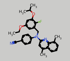 CCOc1cc(CN(c2ccc(C#N)cc2)c2cc(C)c3cccc(C)c3n2)c(F)c(OC(C)C)c1